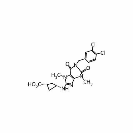 Cn1c(N[C@H]2C[C@@H](C(=O)O)C2)nc2c1c(=O)n(Cc1ccc(Cl)c(Cl)c1)c(=O)n2C